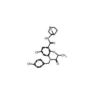 CC1Oc2c(C(=O)NC3CN4CCC3CC4)cc(Cl)cc2N(Cc2ccc(Cl)cc2)C1=O